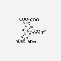 CCCCCCCCCCCCCCCC(=O)[O-].CCCCCCCCCCCCCCCC(=O)[O-].O.O.[Mg+2]